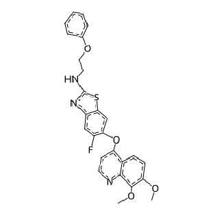 COc1ccc2c(Oc3cc4sc(NCCOc5ccccc5)nc4cc3F)ccnc2c1OC